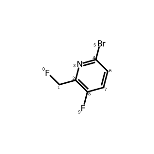 FCc1nc(Br)ccc1F